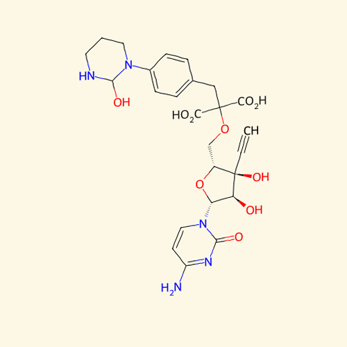 C#C[C@@]1(O)[C@@H](COC(Cc2ccc(N3CCCNC3O)cc2)(C(=O)O)C(=O)O)O[C@@H](n2ccc(N)nc2=O)[C@@H]1O